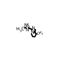 CC1=CCCn2c1cnc2-c1nc(C)ns1